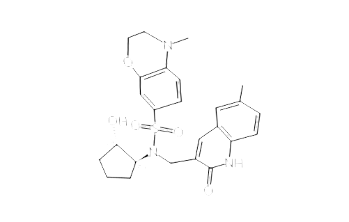 Cc1ccc2[nH]c(=O)c(CN([C@H]3CCC[C@@H]3O)S(=O)(=O)c3ccc4c(c3)OCCN4C)cc2c1